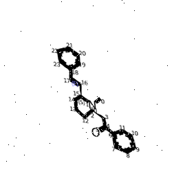 CN1[C@@H](CC(=O)c2ccccc2)CCC[C@H]1/C=C/c1ccccc1